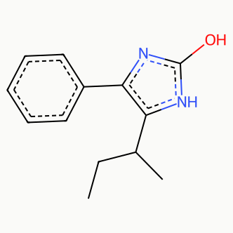 CCC(C)c1[nH]c(O)nc1-c1ccccc1